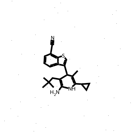 CC1=C(C2CC2)NC(N)=C(CC(C)(C)C)C1c1csc2c(C#N)cccc12